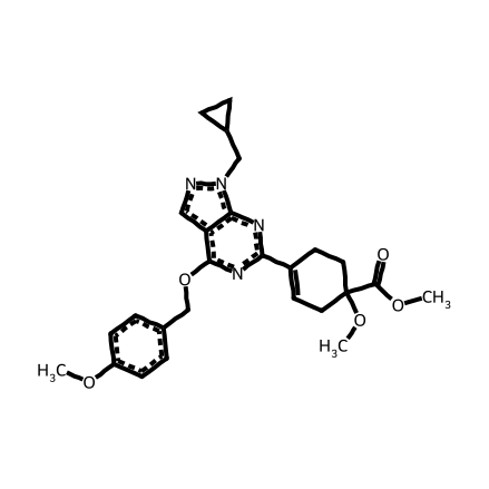 COC(=O)C1(OC)CC=C(c2nc(OCc3ccc(OC)cc3)c3cnn(CC4CC4)c3n2)CC1